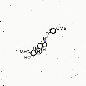 COc1ccc(OC/N=C2\CC[C@H]3[C@@H]4CCc5cc(O)c(OC)cc5[C@H]4CC[C@]23C)cc1